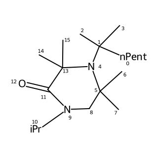 CCCCCC(C)(C)N1C(C)(C)CN(C(C)C)C(=O)C1(C)C